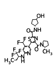 CC[C@H](Nc1cc(C(F)F)c(-c2sc(C(=O)N[C@@H]3CC[C@@H](O)C3)nc2C(=O)N2CCC[C@@H]2C)cn1)C(F)(F)F